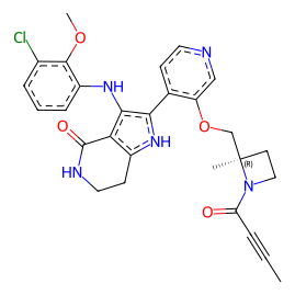 CC#CC(=O)N1CC[C@]1(C)COc1cnccc1-c1[nH]c2c(c1Nc1cccc(Cl)c1OC)C(=O)NCC2